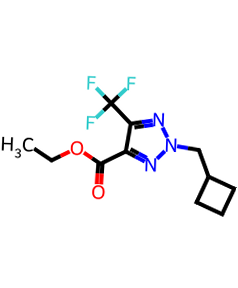 CCOC(=O)c1nn(CC2CCC2)nc1C(F)(F)F